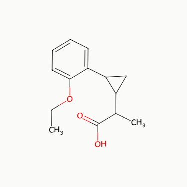 CCOc1ccccc1C1CC1C(C)C(=O)O